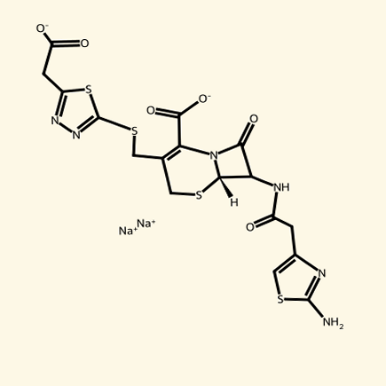 Nc1nc(CC(=O)NC2C(=O)N3C(C(=O)[O-])=C(CSc4nnc(CC(=O)[O-])s4)CS[C@@H]23)cs1.[Na+].[Na+]